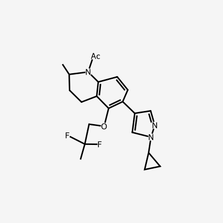 CC(=O)N1c2ccc(-c3cnn(C4CC4)c3)c(OCC(C)(F)F)c2CCC1C